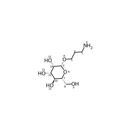 NCCCO[C@@H]1O[C@H](CO)[C@@H](O)[C@H](O)[C@@H]1O